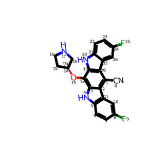 N#Cc1c2c([nH]c3ccc(F)cc32)c(O[C@H]2CCNC2)c2[nH]c3ccc(F)cc3c12